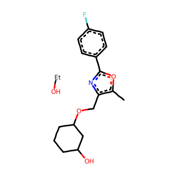 CCO.Cc1oc(-c2ccc(F)cc2)nc1COC1CCCC(O)C1